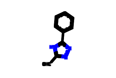 O=Cc1nnc(-c2ccccc2)[nH]1